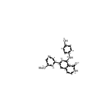 COc1cncc(-c2cc3cc[nH]c(=O)c3c(Nc3ccc(O)cc3)n2)n1